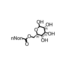 CCCCCCCCCC(=O)OC[C@H]1OC(O)[C@H](O)[C@@H](O)[C@@H]1O